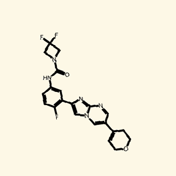 O=C(Nc1ccc(F)c(-c2cn3cc(C4=CCOCC4)cnc3n2)c1)N1CC(F)(F)C1